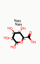 O=C(O)[C@H]1O[C@@H](O)[C@H](O)[C@@H](O)[C@@H]1O.[NaH].[NaH]